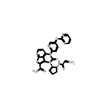 C=CC(=O)N[C@H]1CCC[C@H]1N1C(=O)N(c2ccc(Oc3ncccn3)cn2)c2ccnc3sc(C(N)=O)c1c23